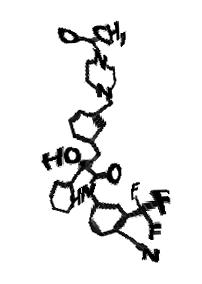 CC(=O)N1CCN(Cc2cccc(C[C@](O)(C(=O)Nc3ccc(C#N)c(C(F)(F)F)c3)C3CCCCC3)c2)CC1